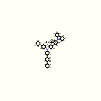 CC1(C)c2cc(N(c3ccc(-c4ccc(-c5ccccc5)cc4)cc3)c3ccc(C4CCCCC4)cc3)ccc2-c2ccc(-n3c4ccccc4c4ccccc43)cc21